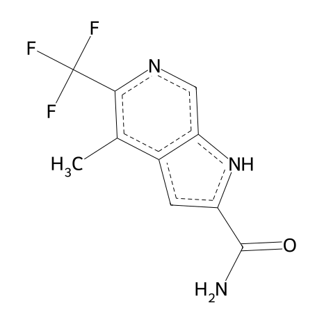 Cc1c(C(F)(F)F)ncc2[nH]c(C(N)=O)cc12